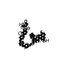 C#Cc1c(F)ccc2cc(O)cc(-c3ncc4c(N5CC6CCC(C5)N6)nc(OCCN5CCC(CN6CCN(CC7CCN(c8ccc9c(c8Cl)CN(C8CCC(=O)NC8=O)C9=O)CC7)CC6)CC5)nc4c3F)c12